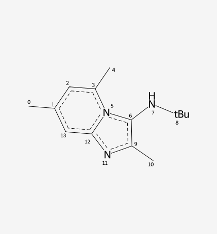 Cc1cc(C)n2c(NC(C)(C)C)c(C)nc2c1